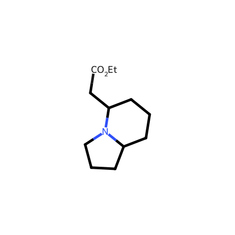 CCOC(=O)CC1CCCC2CCCN21